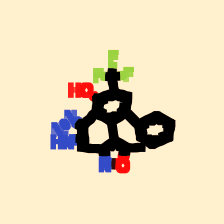 Cc1noc(C)c1-c1c(-c2ccccc2)cc(C(F)(F)F)c(O)c1-c1c[nH]nn1